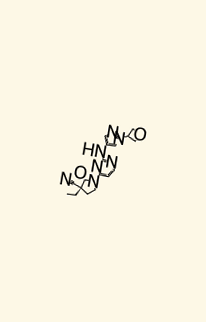 CC[C@]1(C#N)CCN(c2ccnc(Nc3cnn(C4COC4)c3)n2)C1=O